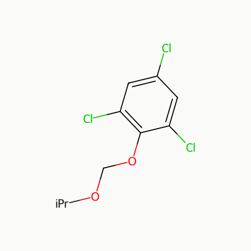 CC(C)OCOc1c(Cl)cc(Cl)cc1Cl